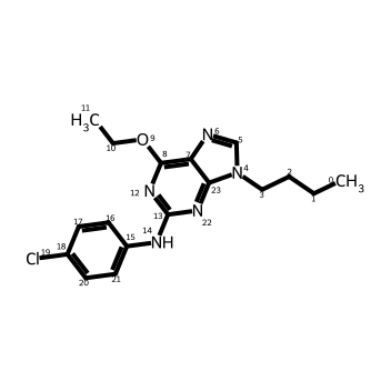 CCCCn1cnc2c(OCC)nc(Nc3ccc(Cl)cc3)nc21